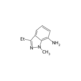 CCc1nn(C)c2c(N)cccc12